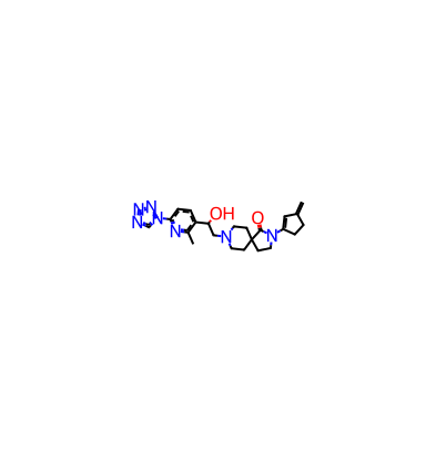 C=C1C=C(N2CCC3(CCN(CC(O)c4ccc(-n5cnnn5)nc4C)CC3)C2=O)CC1